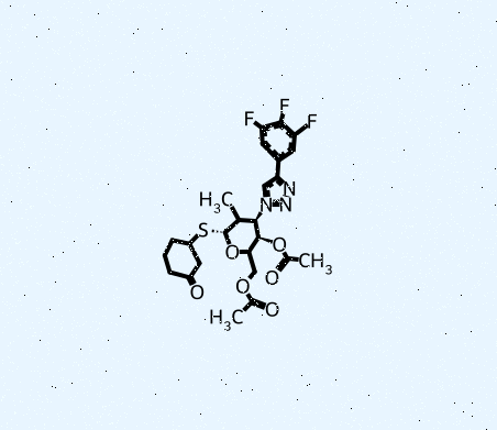 CC(=O)OCC1O[C@H](SC2CCCC(=O)C2)C(C)[C@@H](n2cc(-c3cc(F)c(F)c(F)c3)nn2)[C@H]1OC(C)=O